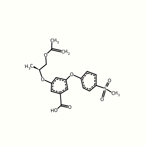 C=C(C)OC[C@H](C)Oc1cc(Oc2ccc(S(C)(=O)=O)cc2)cc(C(=O)O)c1